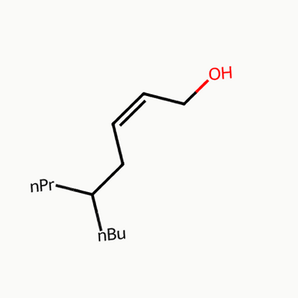 CCCCC(C/C=C\CO)CCC